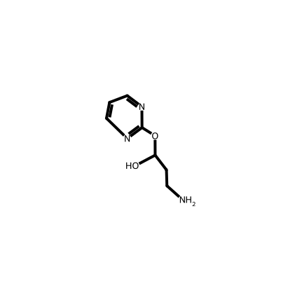 NCCC(O)Oc1ncccn1